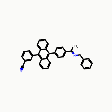 C/C(=N\Cc1ccccc1)c1ccc(-c2c3ccccc3c(-c3cccc(C#N)c3)c3ccccc23)cc1